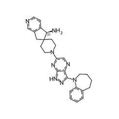 N[C@@H]1c2ccncc2CC12CCN(c1cnc3c(N4CCCCc5ccccc54)n[nH]c3n1)CC2